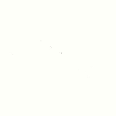 C=C(/C=C\C(=C/C)c1cccc(NC(=O)Nc2nc3ccc(C#N)cc3s2)c1)CC